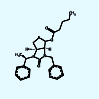 CCCCC(=O)OC1SC[C@H]2[C@@H]1N(Cc1ccccc1)C(=O)N2[C@H](C)c1ccccc1